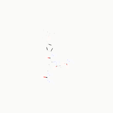 CC(C)[C@H](OC(N)=O)C(=O)N[C@@H](CCCNC(N)=O)C(=O)Nc1ccc(CO[Si](C)(C)C(C)(C)C)cc1